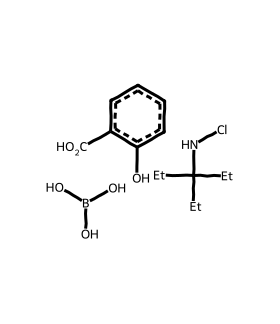 CCC(CC)(CC)NCl.O=C(O)c1ccccc1O.OB(O)O